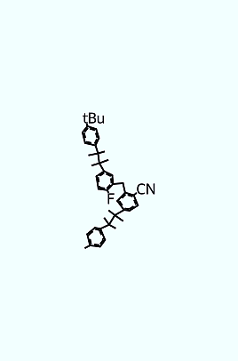 Cc1ccc(C(C)(C)C(C)(C)c2ccc(C#N)c(Cc3cc(C(C)(C)C(C)(C)c4ccc(C(C)(C)C)cc4)ccc3F)c2)cc1